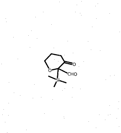 C[Si](C)(C)C1(C=O)OCCCC1=O